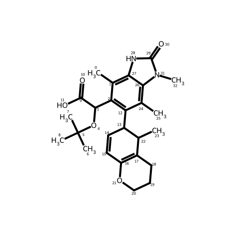 Cc1c(C(OC(C)(C)C)C(=O)O)c(C2C=CC3=C(CCCO3)C2C)c(C)c2c1[nH]c(=O)n2C